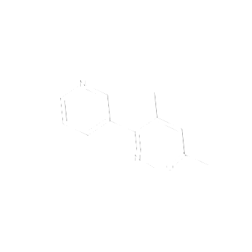 C/N=C(\C(C)=C/C(C)=O)c1cccnc1